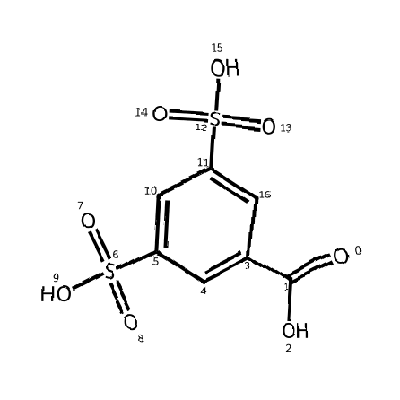 O=C(O)c1cc(S(=O)(=O)O)cc(S(=O)(=O)O)c1